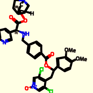 COc1ccc(C(Cc2c(Cl)c[n+]([O-])cc2Cl)OC(=O)c2ccc(CN[C@H](C(=O)O[C@H]3CN4CCC3CC4)c3cccnc3)cc2)cc1OC